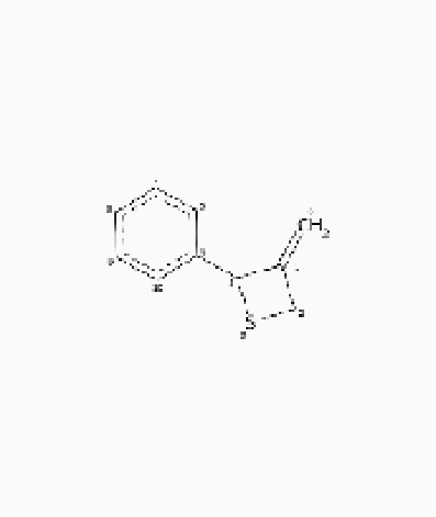 C=C1CSC1c1ccccc1